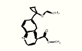 CCOC1(c2ccc3nccc(C(=O)OC)c3c2)CC1